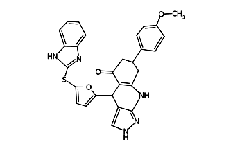 COc1ccc(C2CC(=O)C3=C(C2)Nc2n[nH]cc2C3c2ccc(Sc3nc4ccccc4[nH]3)o2)cc1